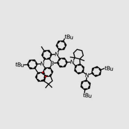 Cc1cc2c3c(c1)N(c1ccc(C(C)(C)C)cc1-c1ccccc1)c1cc4c(cc1B3c1ccc(N3c5ccc(N(c6ccc(C(C)(C)C)cc6)c6ccc(C(C)(C)C)cc6)cc5C5(C)CCCCC35C)cc1N2c1ccc(C(C)(C)C)cc1)CC(C)(C)C4